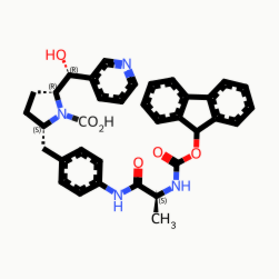 C[C@H](NC(=O)OC1c2ccccc2-c2ccccc21)C(=O)Nc1ccc(C[C@@H]2CC[C@H]([C@H](O)c3cccnc3)N2C(=O)O)cc1